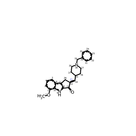 COc1cccc2c3c([nH]c12)C(=O)/C(=C/C1CCN(Cc2ccccc2)CC1)C3